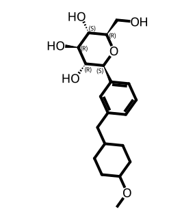 COC1CCC(Cc2cccc([C@@H]3O[C@H](CO)[C@@H](O)[C@H](O)[C@H]3O)c2)CC1